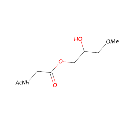 COCC(O)COC(=O)CNC(C)=O